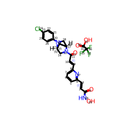 O=C(/C=C/c1cccc(/C=C/C(=O)N2C[C@@H]3C[C@H]2CN3c2ccc(Cl)cc2)n1)NO.O=C(O)C(F)(F)F